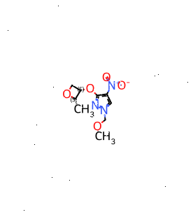 COCn1cc([N+](=O)[O-])c(O[C@H]2CO[C@H]2C)n1